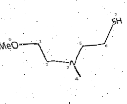 COCCN(C)CCS